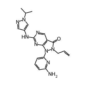 C=CCn1c(=O)c2cnc(Nc3cnn(C(C)C)c3)nc2n1-c1cccc(N)n1